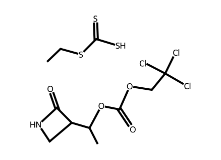 CC(OC(=O)OCC(Cl)(Cl)Cl)C1CNC1=O.CCSC(=S)S